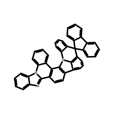 c1ccc2c(c1)-c1ccccc1C21c2ccccc2-n2c3c1cccc3c1ccc3c(c4ccccc4n4c5ccccc5nc34)c12